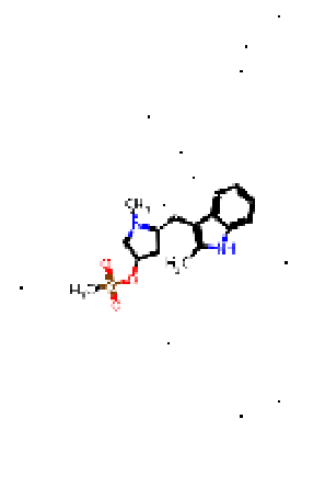 Cc1[nH]c2ccccc2c1C[C@H]1C[C@@H](OS(C)(=O)=O)CN1C